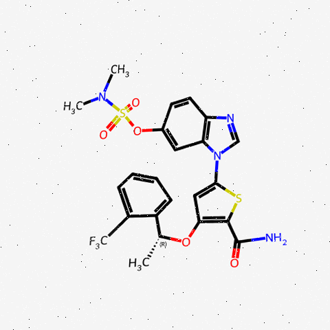 C[C@@H](Oc1cc(-n2cnc3ccc(OS(=O)(=O)N(C)C)cc32)sc1C(N)=O)c1ccccc1C(F)(F)F